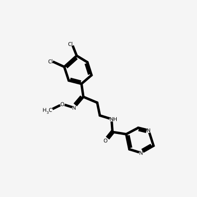 CON=C(CCNC(=O)c1cncnc1)c1ccc(Cl)c(Cl)c1